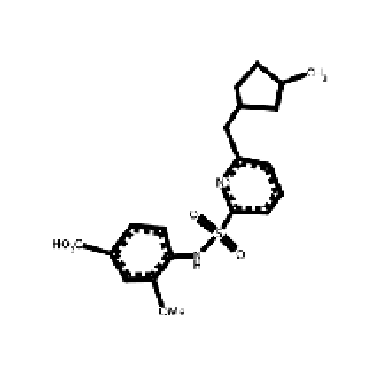 COc1cc(C(=O)O)ccc1NS(=O)(=O)c1cccc(CC2CCC(C)C2)n1